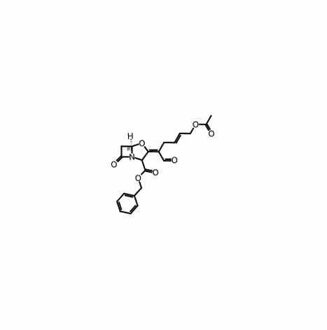 CC(=O)OCC=CCC(C=O)=C1O[C@@H]2CC(=O)N2C1C(=O)OCc1ccccc1